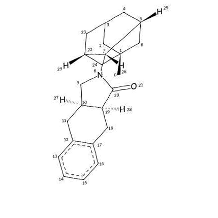 C[C@@]12CC3C[C@H](C1)[C@H](N1C[C@@H]4Cc5ccccc5C[C@@H]4C1=O)[C@@H](C3)C2